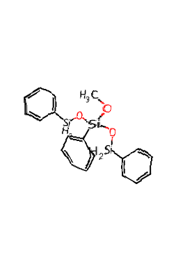 CO[Si](O[SiH2]c1ccccc1)(O[SiH2]c1ccccc1)c1ccccc1